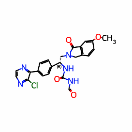 COc1ccc2c(c1)C(=O)N(C[C@H](NC(=O)NC=O)c1ccc(-c3nccnc3Cl)cc1)C2